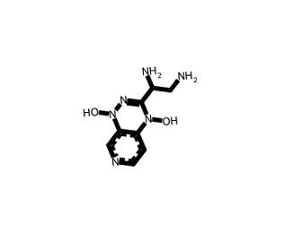 NCC(N)C1=NN(O)c2cnccc2N1O